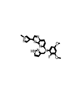 COc1cc(OC)c(F)c(N(Cc2cc[nH]n2)c2ccc3ncc(-c4cnn(C)c4)nc3n2)c1